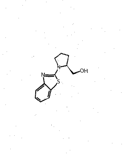 OC[C@@H]1CCCN1c1nc2ccccc2s1